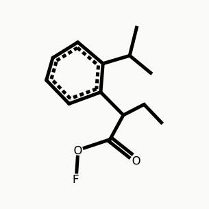 CCC(C(=O)OF)c1ccccc1C(C)C